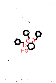 OC1C=CCC(OCc2ccccc2)C(OCc2ccccc2)C1OCc1ccccc1